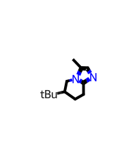 Cc1cnc2n1CC(C(C)(C)C)CC2